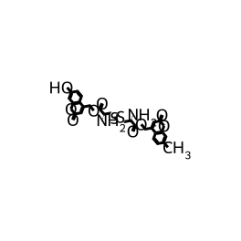 Cc1ccc2c(COC(=O)[C@@H](N)CSSC[C@H](N)C(=O)OCc3cc(=O)oc4cc(O)ccc34)cc(=O)oc2c1